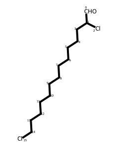 O=CC(Cl)CCCCCCCCCCCCCl